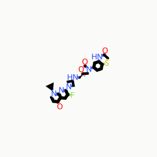 O=C1CSc2ccc(N3C[C@@H](CNC4CN(c5nc6c(cc5F)c(=O)ccn6C5CC5)C4)OC3=O)cc2N1